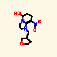 O=[N+]([O-])C1=C2N(CC3CCOC3)CCN2C(O)CC1